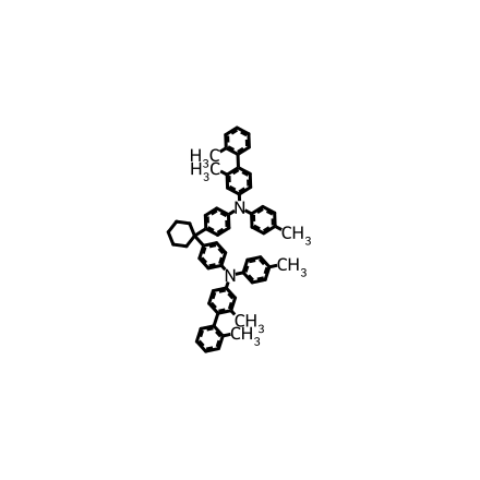 Cc1ccc(N(c2ccc(C3(c4ccc(N(c5ccc(C)cc5)c5ccc(-c6ccccc6C)c(C)c5)cc4)CCCCC3)cc2)c2ccc(-c3ccccc3C)c(C)c2)cc1